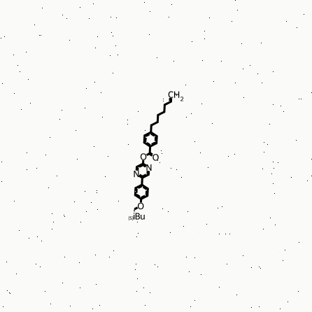 C=CCCCCCc1ccc(C(=O)Oc2cnc(-c3ccc(OC[C@@H](C)CC)cc3)cn2)cc1